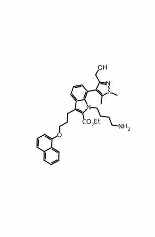 CCOC(=O)c1c(CCCOc2cccc3ccccc23)c2cccc(-c3c(CO)nn(C)c3C)c2n1CCCCN